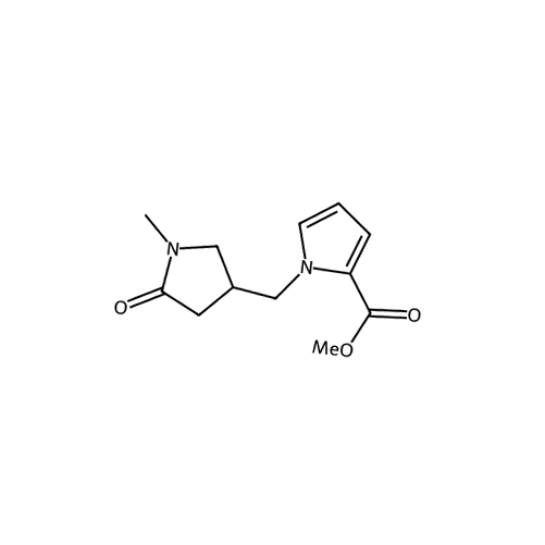 COC(=O)c1cccn1CC1CC(=O)N(C)C1